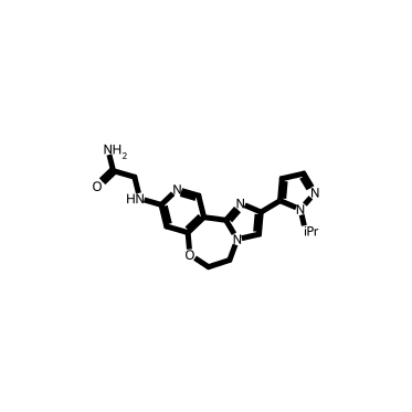 CC(C)n1nccc1-c1cn2c(n1)-c1cnc(NCC(N)=O)cc1OCC2